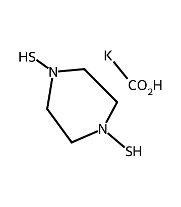 O=[C](O)[K].SN1CCN(S)CC1